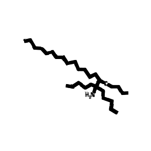 CCCCCCCCCCCCCCC(CCCCC)C(N)(CCCCC)CCCCC